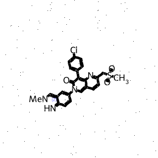 CN/C=C1/C=C(n2cc3ccc(CS(C)(=O)=O)nc3c(-c3ccc(Cl)cc3)c2=O)C=CC1=N